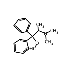 CC(N(C)C)C(O[C]=O)(c1ccccc1)c1ccccc1